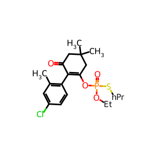 CCCSP(=O)(OCC)OC1=C(c2ccc(Cl)cc2C)C(=O)CC(C)(C)C1